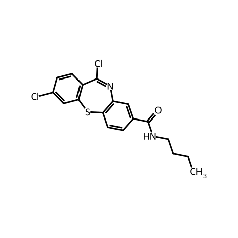 CCCCNC(=O)c1ccc2c(c1)N=C(Cl)c1ccc(Cl)cc1S2